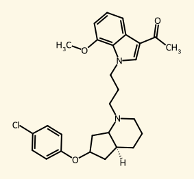 COc1cccc2c(C(C)=O)cn(CCCN3CCC[C@H]4CC(Oc5ccc(Cl)cc5)CC43)c12